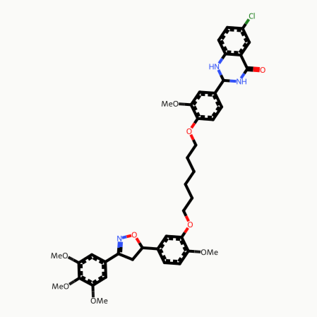 COc1cc(C2NC(=O)c3cc(Cl)ccc3N2)ccc1OCCCCCCOc1cc(C2CC(c3cc(OC)c(OC)c(OC)c3)=NO2)ccc1OC